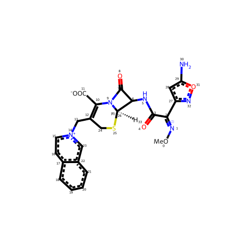 CO/N=C(\C(=O)NC1C(=O)N2C(C(=O)[O-])=C(C[n+]3ccc4ccccc4c3)CS[C@H]12)c1cc(N)on1